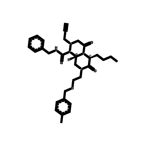 C#CCN1CC(=O)N2[C@@H](CCCC)C(=O)N(CCOCc3ccc(C)cc3)C[C@@H]2N1C(=O)NCc1ccccc1